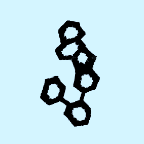 c1ccc(-c2ccccc2-c2ccc3nc4c5ccccc5ccn4c3c2)cc1